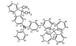 CC1(C)c2ccccc2-c2ccc(N(c3ccccc3)c3ccc(-c4ccc5c(c4)C(C4=CCCC=C4)(c4ccccc4)c4ccccc4-5)cc3)cc21